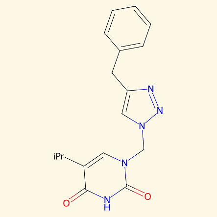 CC(C)c1cn(Cn2cc(Cc3ccccc3)nn2)c(=O)[nH]c1=O